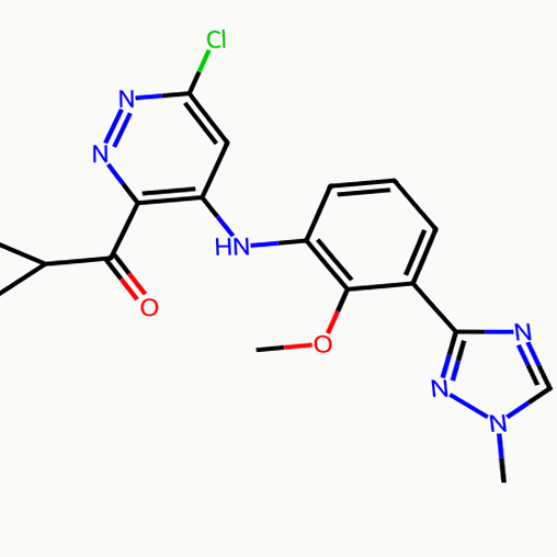 COc1c(Nc2cc(Cl)nnc2C(=O)C2CC2)cccc1-c1ncn(C)n1